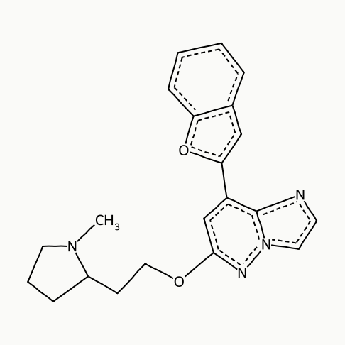 CN1CCCC1CCOc1cc(-c2cc3ccccc3o2)c2nccn2n1